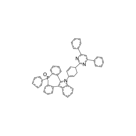 O=P1(c2ccccc2)c2ccccc2-c2c(n(C3=CCC(c4nc(-c5ccccc5)cc(-c5ccccc5)n4)C=C3)c3ccccc23)-c2ccccc21